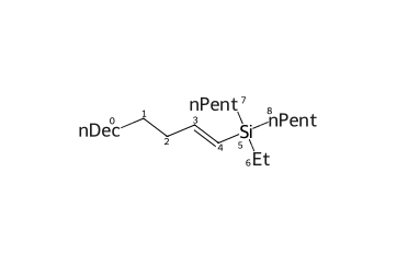 CCCCCCCCCCCCC=C[Si](CC)(CCCCC)CCCCC